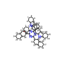 c1ccc(-n2c3ccccc3c3cccc(-c4nc(-c5ccc6ccccc6c5)nc(-c5ccc6ccccc6c5-n5c6ccccc6c6cc7ccccc7cc65)n4)c32)cc1